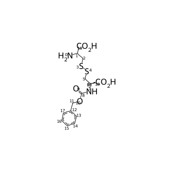 NC(CSSC[C@H](NC(=O)OCc1ccccc1)C(=O)O)C(=O)O